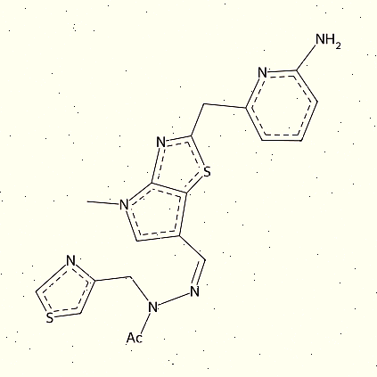 CC(=O)N(Cc1cscn1)/N=C\c1cn(C)c2nc(Cc3cccc(N)n3)sc12